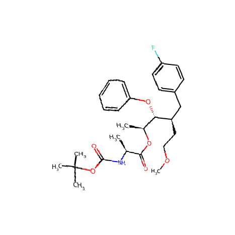 COCC[C@H](Cc1ccc(F)cc1)[C@@H](Oc1ccccc1)[C@H](C)OC(=O)[C@H](C)NC(=O)OC(C)(C)C